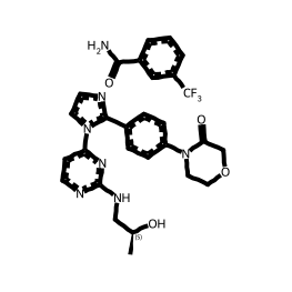 C[C@H](O)CNc1nccc(-n2ccnc2-c2ccc(N3CCOCC3=O)cc2)n1.NC(=O)c1cccc(C(F)(F)F)c1